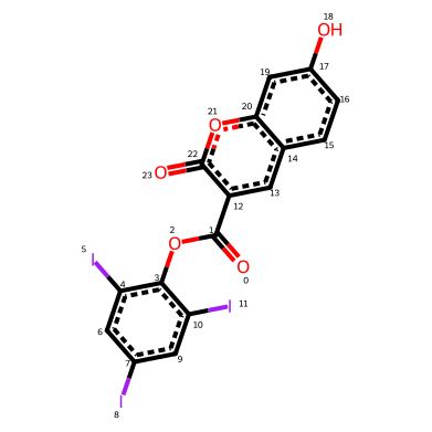 O=C(Oc1c(I)cc(I)cc1I)c1cc2ccc(O)cc2oc1=O